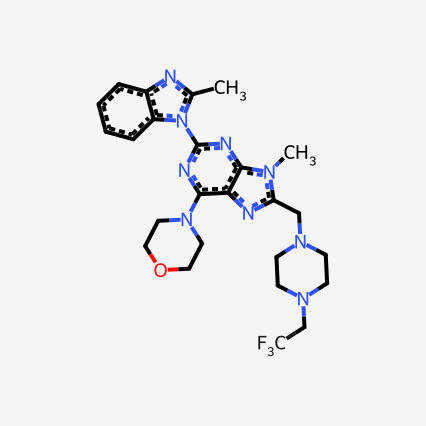 Cc1nc2ccccc2n1-c1nc(N2CCOCC2)c2nc(CN3CCN(CC(F)(F)F)CC3)n(C)c2n1